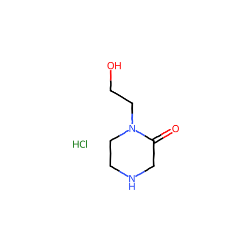 Cl.O=C1CNCCN1CCO